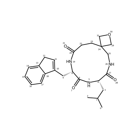 CC(C)C[C@@H]1NC(=O)[C@H](CC2=CCc3ccccc32)NC(=O)CCC2(CNC1=O)COC2